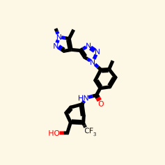 Cc1ccc(C(=O)Nc2ccc(CO)c(C(F)(F)F)c2)cc1-n1cc(-c2cnn(C)c2C)nn1